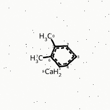 Cc1ccccc1C.[CaH2]